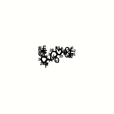 CC1(C)OB(c2cnc3c(c2)C(=O)N(Cc2cc(OC(F)(F)F)ccc2F)CC3)OC1(C)C